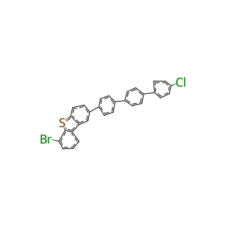 Clc1ccc(-c2ccc(-c3ccc(-c4ccc5sc6c(Br)cccc6c5c4)cc3)cc2)cc1